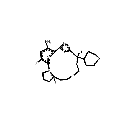 Nc1cc(C(F)(F)F)c2nc1-c1nnc(o1)C(O)(C1CCOCC1)CCCCC[C@@H]1CCCN21